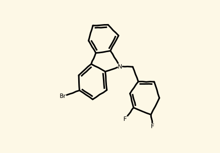 FC1=CC(Cn2c3ccccc3c3cc(Br)ccc32)=CCC1F